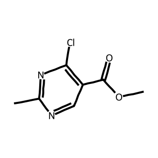 COC(=O)c1cnc(C)nc1Cl